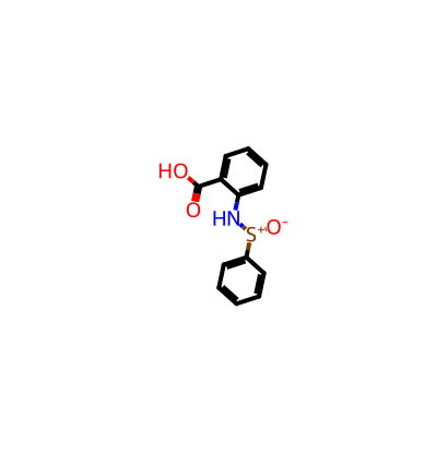 O=C(O)c1ccccc1N[S+]([O-])c1ccccc1